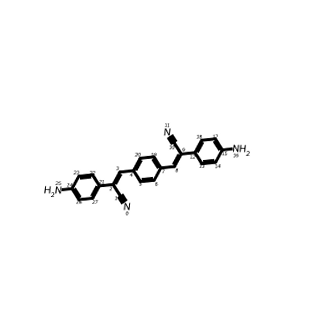 N#C/C(=C\c1ccc(/C=C(\C#N)c2ccc(N)cc2)cc1)c1ccc(N)cc1